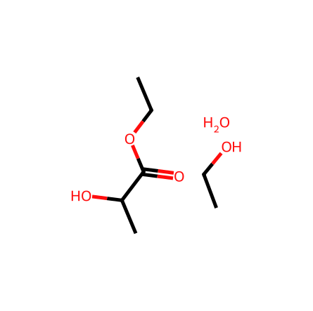 CCO.CCOC(=O)C(C)O.O